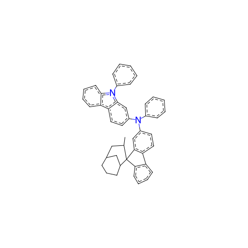 CC1CC2CCCC(C2)C12c1ccccc1-c1ccc(N(c3ccccc3)c3ccc4c5ccccc5n(-c5ccccc5)c4c3)cc12